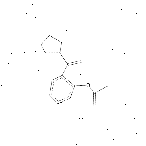 C=C(C)Oc1ccccc1C(=C)C1CCCC1